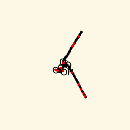 C#CC#CC#CC#CC#CC#CC#CC#CC#CC#CC#COc1cc(COc2cc(OC)ccc2CO)cc(OC#CC#CC#CC#CC#CC#CC#CC#CC#CC#CC#C)c1